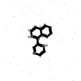 c1ccc2c(-c3cnccn3)nccc2c1